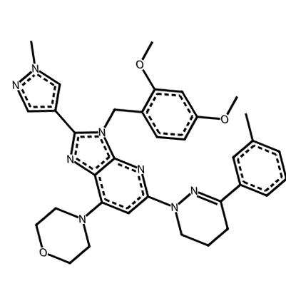 COc1ccc(Cn2c(-c3cnn(C)c3)nc3c(N4CCOCC4)cc(N4CCCC(c5cccc(C)c5)=N4)nc32)c(OC)c1